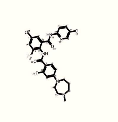 CN1CCCN(c2ccc(C(=O)Nc3c(O)cc(Cl)cc3C(=O)Nc3ccc(Cl)cn3)c(F)c2)CC1